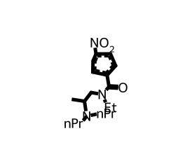 CCCN(CCC)C(C)CN(CC)C(=O)c1ccc([N+](=O)[O-])cc1